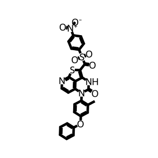 Cc1cc(Oc2ccccc2)ccc1N1C(=O)Nc2c(C(=O)S(=O)(=O)c3ccc([N+](=O)[O-])cc3)sc3nccc1c23